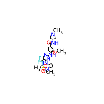 CCN1CCC(NC(=O)c2ccc(Nc3ncc(C(F)(F)F)c(N[C@@H]4CCC[C@H]4N(C)S(C)(=O)=O)n3)c(OC)c2)CC1